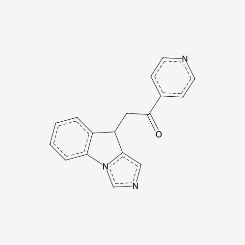 O=C(CC1c2ccccc2-n2cncc21)c1ccncc1